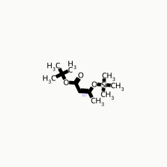 C/C(=C/C(=O)OC(C)(C)C)O[Si](C)(C)C